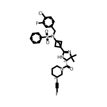 CC1(C)N=C(C23CC(N(Cc4ccc(Cl)c(F)c4)S(=O)(=O)c4ccccc4)(C2)C3)N[C@H]1C(=O)N1CCC[C@H](C#CF)C1